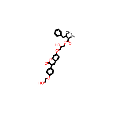 CC(C)C(C(=O)OCC(O)COC1=CC2OC(=O)C(c3ccc(OCCO)cc3)=CC2C=C1)C(C)Cc1ccccc1